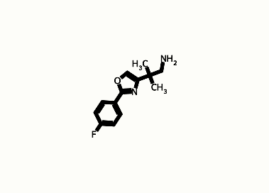 CC(C)(CN)c1coc(-c2ccc(F)cc2)n1